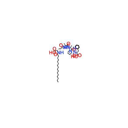 CCCCCCCCCCCCCCCC(=O)N[C@@H](CCC(=O)N[C@@H](C)C(=O)N[C@@H](C)C(=O)N1CCC[C@H]1C(=O)N[C@@H](Cc1ccccc1)C(=O)O)C(=O)O